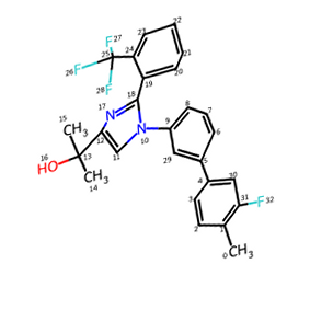 Cc1ccc(-c2cccc(-n3cc(C(C)(C)O)nc3-c3ccccc3C(F)(F)F)c2)cc1F